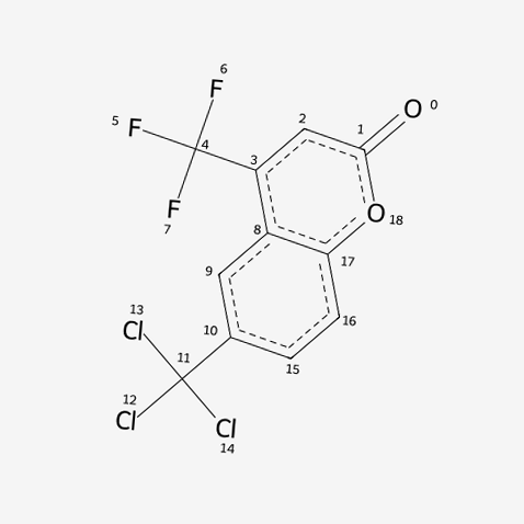 O=c1cc(C(F)(F)F)c2cc(C(Cl)(Cl)Cl)ccc2o1